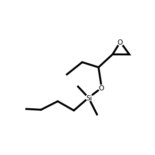 CCCC[Si](C)(C)OC(CC)C1CO1